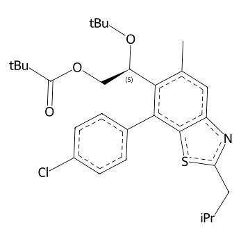 Cc1cc2nc(CC(C)C)sc2c(-c2ccc(Cl)cc2)c1[C@@H](COC(=O)C(C)(C)C)OC(C)(C)C